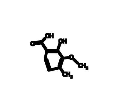 COc1c(C)ccc(C(=O)O)c1O